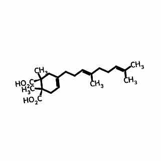 CC(C)=CCC/C(C)=C/CCC1=CC[C@@](C)(C(=O)O)[C@@](C)(C(=O)O)C1